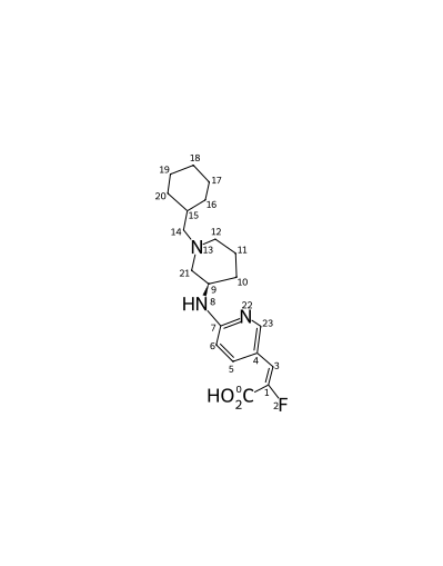 O=C(O)/C(F)=C\c1ccc(N[C@@H]2CCCN(CC3CCCCC3)C2)nc1